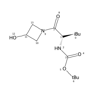 CC[C@H](C)[C@H](NC(=O)OC(C)(C)C)C(=O)N1CC(O)C1